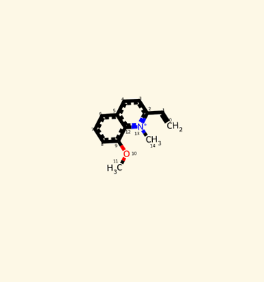 C=Cc1ccc2cccc(OC)c2[n+]1C